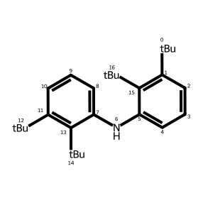 CC(C)(C)c1cccc(Nc2cccc(C(C)(C)C)c2C(C)(C)C)c1C(C)(C)C